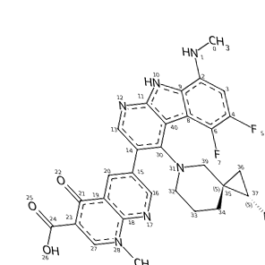 CNc1cc(F)c(F)c2c1[nH]c1ncc(-c3cnc4c(c3)c(=O)c(C(=O)O)cn4C)c(N3CCC[C@]4(C[C@@H]4N)C3)c12